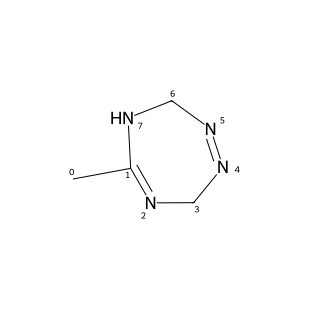 CC1=NCN=NCN1